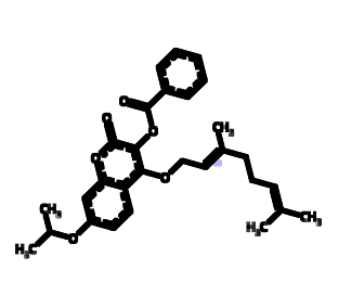 CC(C)=CCC/C(C)=C/COc1c(OC(=O)c2ccccc2)c(=O)oc2cc(OC(C)C)ccc12